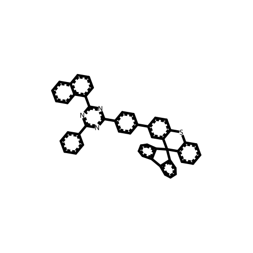 c1ccc(-c2nc(-c3ccc(-c4ccc5c(c4)C4(c6ccccc6S5)c5ccccc5-c5ccccc54)cc3)nc(-c3cccc4ccccc34)n2)cc1